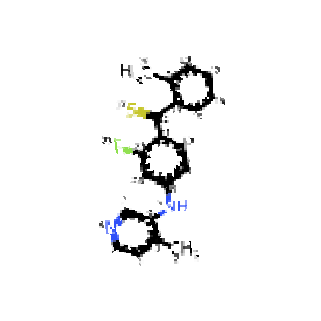 Cc1ccncc1Nc1ccc(C(=S)c2ccccc2C)c(F)c1